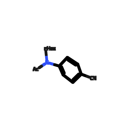 CCCCCCN(C(C)=O)c1ccc(C#N)cc1